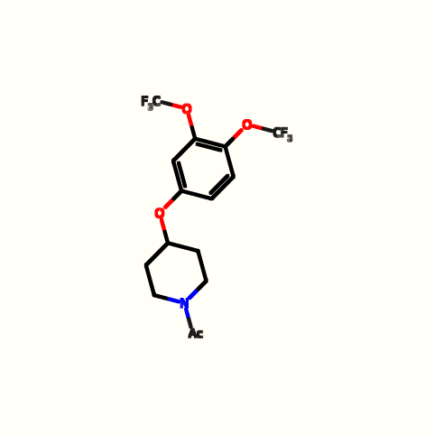 [CH2]C(=O)N1CCC(Oc2ccc(OC(F)(F)F)c(OC(F)(F)F)c2)CC1